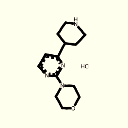 Cl.c1cc(C2CCNCC2)nc(N2CCOCC2)n1